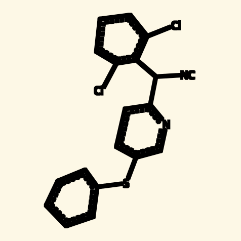 [C-]#[N+]C(c1ccc(Sc2ccccc2)cn1)c1c(Cl)cccc1Cl